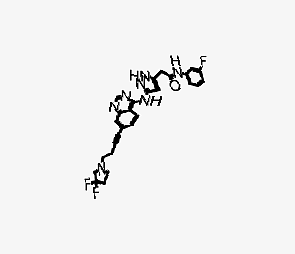 O=C(Cc1cc(Nc2ncnc3cc(C#CCCN4CCC(F)(F)C4)ccc23)n[nH]1)Nc1cccc(F)c1